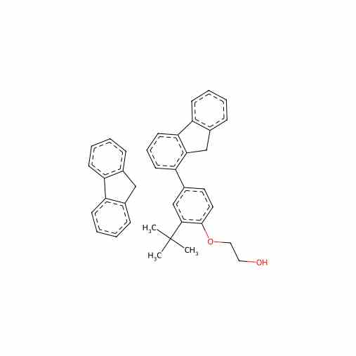 CC(C)(C)c1cc(-c2cccc3c2Cc2ccccc2-3)ccc1OCCO.c1ccc2c(c1)Cc1ccccc1-2